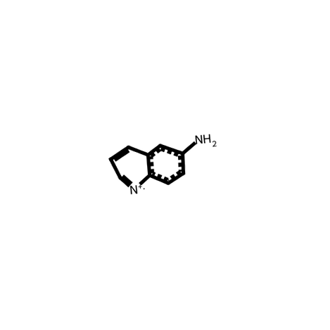 Nc1ccc2c(c1)C=CC=[N+]2